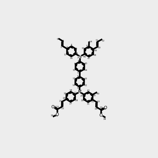 C/C=C/c1ccc(N(c2ccc(-c3ccc(N(c4ccc(/C=C/C(=O)OC)cc4)c4ccc(/C=C/C(=O)OC)c(C)c4)cc3)cc2)c2ccc(/C=C/C)c(C)c2)cc1